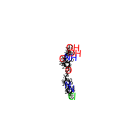 Cc1cc(OCCCC2CCN(c3ccc(Cl)cn3)CC2)cc(C)c1C(=O)NC[C@H](O)CO